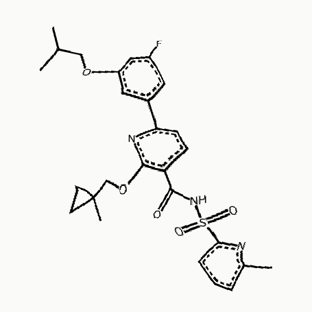 Cc1cccc(S(=O)(=O)NC(=O)c2ccc(-c3cc(F)cc(OCC(C)C)c3)nc2OCC2(C)CC2)n1